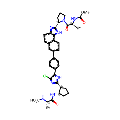 COC(=O)N[C@H](C(=O)N1CCC[C@H]1c1nc2ccc3cc(-c4ccc(-c5[nH]c([C@@H]6CCC[C@@H]6NC(=O)[C@@H](NC(=O)O)C(C)C)nc5Cl)cc4)ccc3c2[nH]1)C(C)C